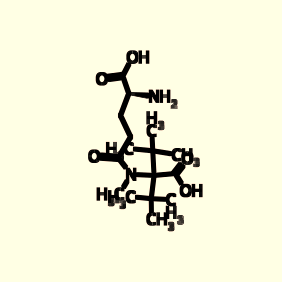 CN(C(=O)CC[C@H](N)C(=O)O)C(C(=O)O)(C(C)(C)C)C(C)(C)C